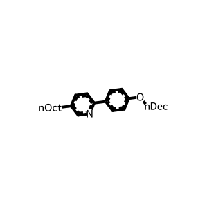 CCCCCCCCCCOc1ccc(-c2ccc(CCCCCCCC)cn2)cc1